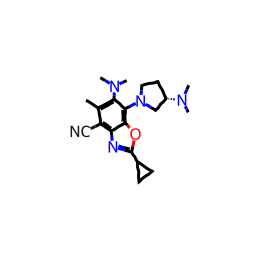 Cc1c(N(C)C)c(N2CC[C@H](N(C)C)C2)c2oc(C3CC3)nc2c1C#N